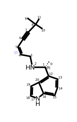 C[C@@H](NC/C=C\C#CC(C)(C)C)c1cccc2[nH]ccc12